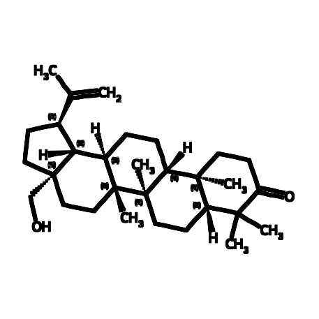 C=C(C)[C@@H]1CC[C@]2(CO)CC[C@]3(C)[C@H](CC[C@@H]4[C@@]5(C)CCC(=O)C(C)(C)[C@@H]5CC[C@]43C)[C@@H]12